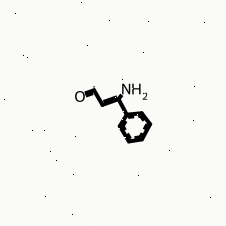 N/C(=C\[C]=O)c1ccccc1